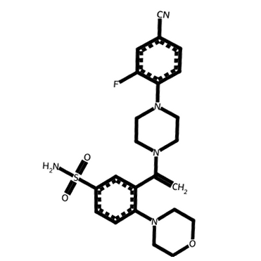 C=C(c1cc(S(N)(=O)=O)ccc1N1CCOCC1)N1CCN(c2ccc(C#N)cc2F)CC1